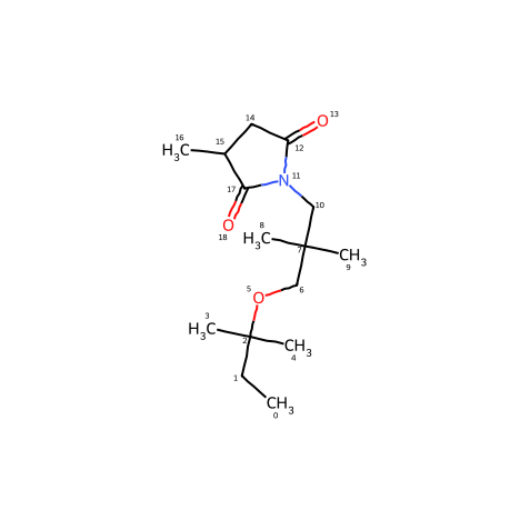 CCC(C)(C)OCC(C)(C)CN1C(=O)CC(C)C1=O